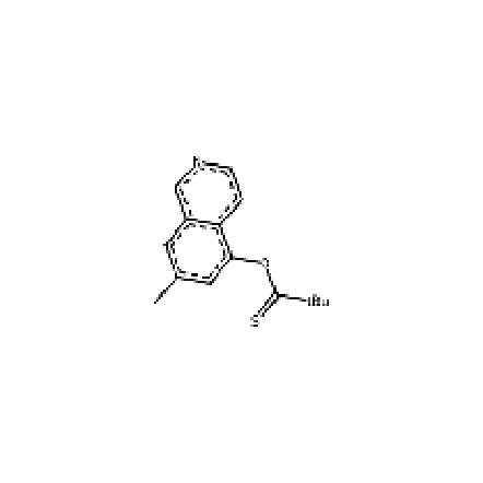 Cc1cc(OC(=S)C(C)(C)C)c2ccncc2c1